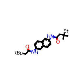 CCC(C)(C)CC(=O)Nc1ccc2cc(NC(=O)CC(C)(C)C)ccc2c1